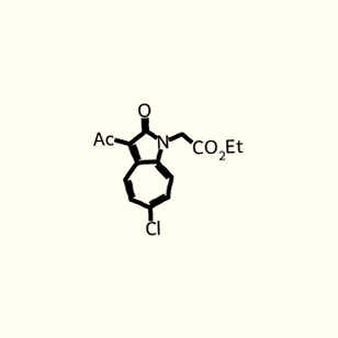 CCOC(=O)Cn1c2ccc(Cl)ccc-2c(C(C)=O)c1=O